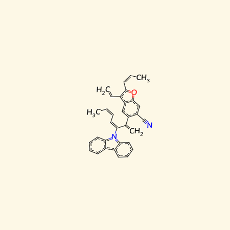 C=Cc1c(/C=C\C)oc2cc(C#N)c(C(=C)/C(=C\C=C/C)n3c4ccccc4c4ccccc43)cc12